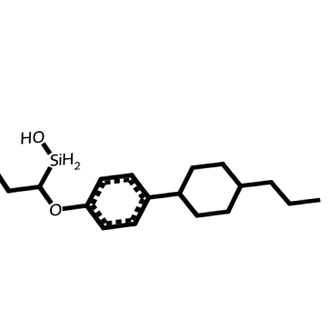 CCCC1CCC(c2ccc(OC(CC)[SiH2]O)cc2)CC1